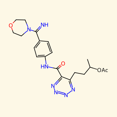 CC(=O)OC(C)CCc1nnnnc1C(=O)Nc1ccc(C(=N)N2CCOCC2)cc1